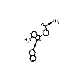 CC#CC(=O)N1CCC[C@@H](n2nc(C#Cc3ccc4ccccc4c3)c3c(N)ncnc32)C1